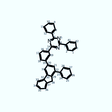 c1ccc(-c2nc(-c3ccccc3)nc(-c3cccc(-c4cc(-c5ccccc5)c5c(c4)-c4ccccc4C5)c3)n2)cc1